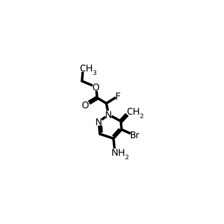 C=C1C(Br)=C(N)C=NN1C(F)C(=O)OCC